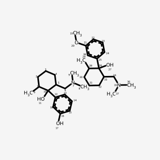 CC1CCCC(CN(C)C)C1(O)c1cccc(O)c1.COc1cccc(C2(O)C(C)CCCC2CN(C)C)c1